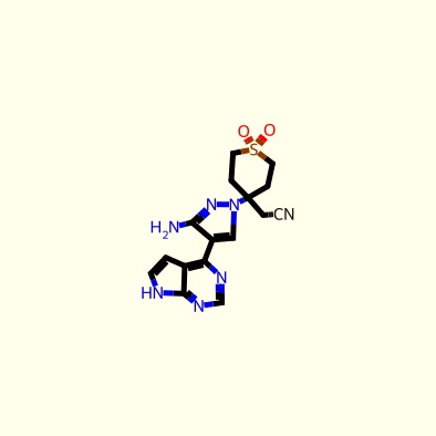 N#CCC1(n2cc(-c3ncnc4[nH]ccc34)c(N)n2)CCS(=O)(=O)CC1